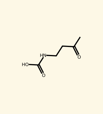 CC(=O)CCNC(=O)O